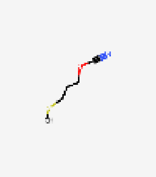 CSCCCOC#N